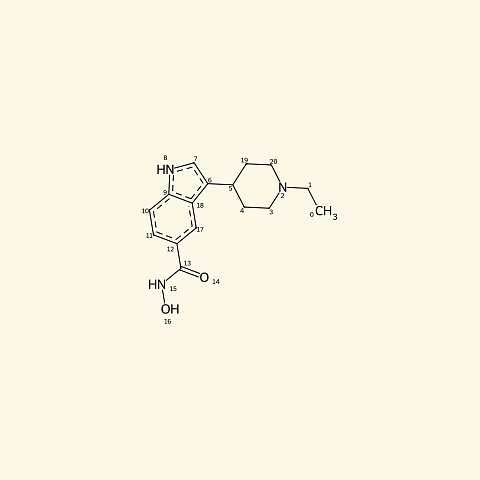 CCN1CCC(c2c[nH]c3ccc(C(=O)NO)cc23)CC1